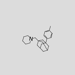 Cc1ccc(C23CC4CC(CC(CN5CCCCC5)(C4)C2)C3)cc1